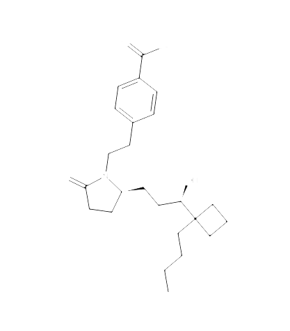 CCCCC1([C@H](O)CC[C@H]2CCC(=O)N2CCc2ccc(C(=O)O)cc2)CCC1